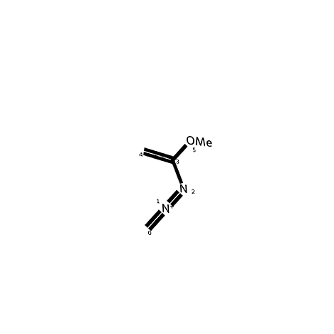 C=[N+]=NC(=C)OC